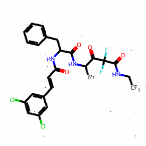 CC(C)C(NC(=O)C(Cc1ccccc1)NC(=O)C=Cc1cc(Cl)cc(Cl)c1)C(=O)C(F)(F)C(=O)NCC(F)(F)F